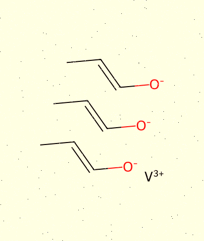 CC=C[O-].CC=C[O-].CC=C[O-].[V+3]